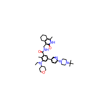 CCN(c1cc(-c2ccc(N3CCN(C(C)(C)C)CC3)nc2)cc(C(=O)NCc2c3c(c(C)[nH]c2=O)CCCC3)c1C)C1CCOCC1